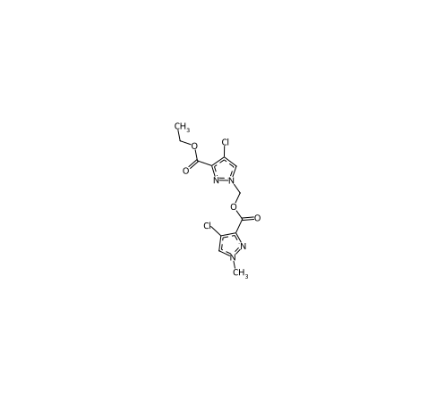 CCOC(=O)c1nn(COC(=O)c2nn(C)cc2Cl)cc1Cl